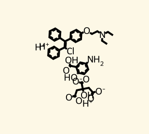 CCN(CC)CCOc1ccc(C(=C(Cl)c2ccccc2)c2ccccc2)cc1.Nc1ccc(O)c(C(=O)O)c1.O=C([O-])CC(O)(CC(=O)[O-])C(=O)[O-].[H+].[H+].[H+]